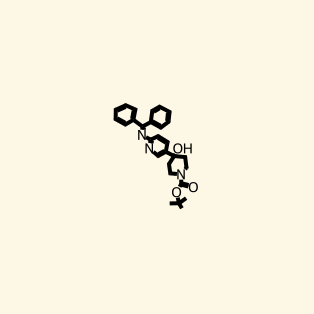 CC(C)(C)OC(=O)N1CCC(O)(c2ccc(N=C(c3ccccc3)c3ccccc3)nc2)CC1